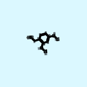 [NH]Cc1ccc(OCl)cc1OCl